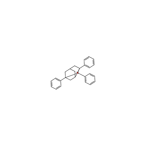 c1ccc(N2C3CC4CC(c5ccccc5)(C3)CC2(c2ccccc2)C4)cc1